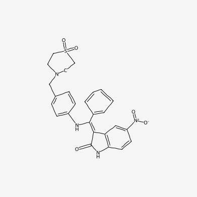 O=C1Nc2ccc([N+](=O)[O-])cc2/C1=C(/Nc1ccc(CN2CCS(=O)(=O)CC2)cc1)c1ccccc1